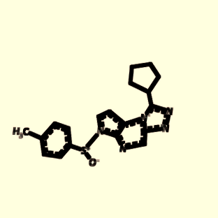 Cc1ccc([S+]([O-])n2ccc3c2ncc2nnc(C4CCCC4)n23)cc1